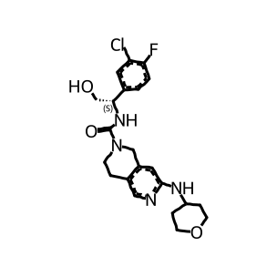 O=C(N[C@H](CO)c1ccc(F)c(Cl)c1)N1CCc2cnc(NC3CCOCC3)cc2C1